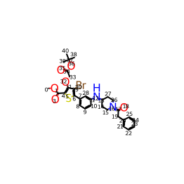 COC(=O)c1sc(-c2cccc(NC3CCN(C(=O)Cc4ccccc4)CC3)c2)c(Br)c1OCC(=O)OC(C)(C)C